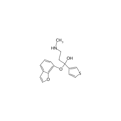 CNCCC(O)(Oc1cccc2ccoc12)c1ccsc1